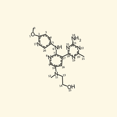 COc1ccc(Nc2ncc(N(C)CCO)cc2-c2nc(C)nc(N)n2)cn1